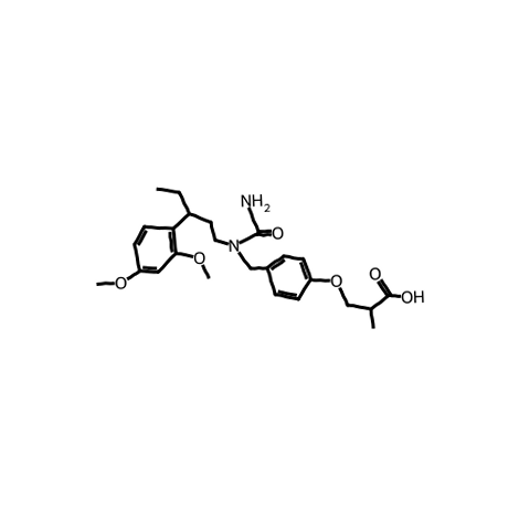 CCC(CCN(Cc1ccc(OCC(C)C(=O)O)cc1)C(N)=O)c1ccc(OC)cc1OC